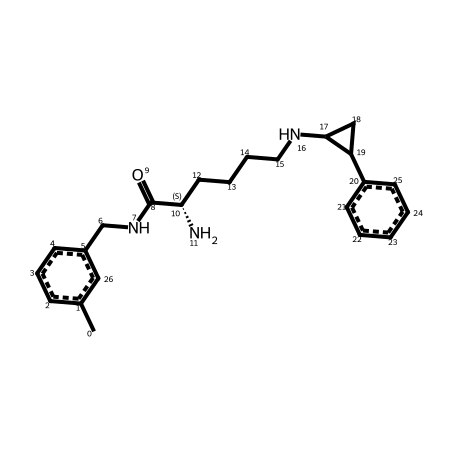 Cc1cccc(CNC(=O)[C@@H](N)CCCCNC2CC2c2ccccc2)c1